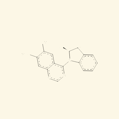 COc1cc2ncnc(N3c4ccccc4[C@@H](C)[C@@H]3C)c2cc1OC